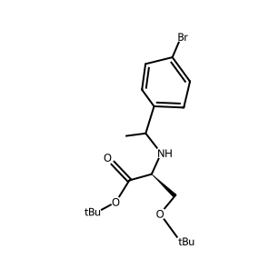 CC(N[C@@H](COC(C)(C)C)C(=O)OC(C)(C)C)c1ccc(Br)cc1